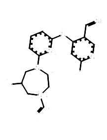 N=Cc1cnc(Cl)cc1Nc1cccc(N2CCN(C=O)CC(O)C2)n1